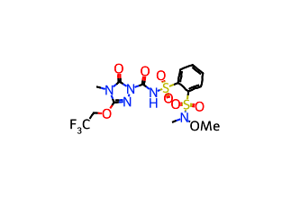 CON(C)S(=O)(=O)c1ccccc1S(=O)(=O)NC(=O)n1nc(OCC(F)(F)F)n(C)c1=O